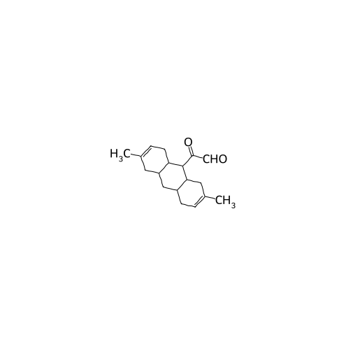 CC1=CCC2C(C1)CC1CC=C(C)CC1C2C(=O)C=O